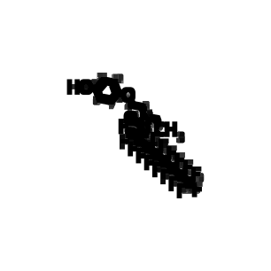 CCN(CCOc1ccc(O)cc1)S(=O)(=O)C(F)(F)C(F)(F)C(F)(F)C(F)(F)C(F)(F)C(F)(F)C(F)(F)C(F)(F)F